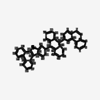 c1ccc2c(c1)ccc1ccc(-c3c4ccccc4c(-c4ccc5c(c4)sc4c6ccccc6c6ccccc6c54)c4ccccc34)cc12